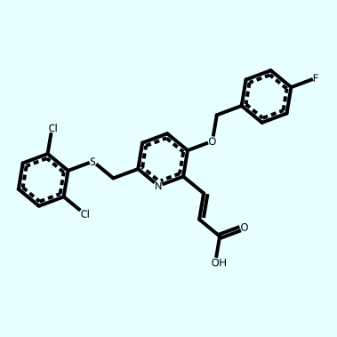 O=C(O)/C=C/c1nc(CSc2c(Cl)cccc2Cl)ccc1OCc1ccc(F)cc1